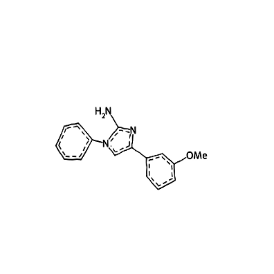 COc1cccc(-c2cn(-c3ccccc3)c(N)n2)c1